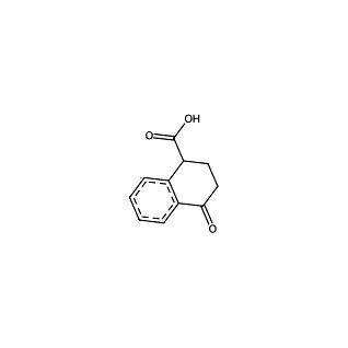 O=C1CCC(C(=O)O)c2[c]cccc21